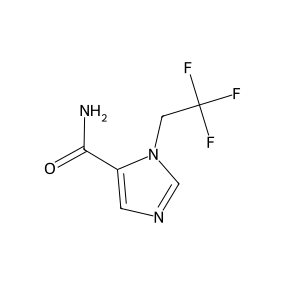 NC(=O)c1cncn1CC(F)(F)F